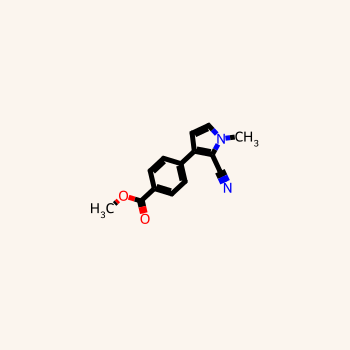 COC(=O)c1ccc(-c2ccn(C)c2C#N)cc1